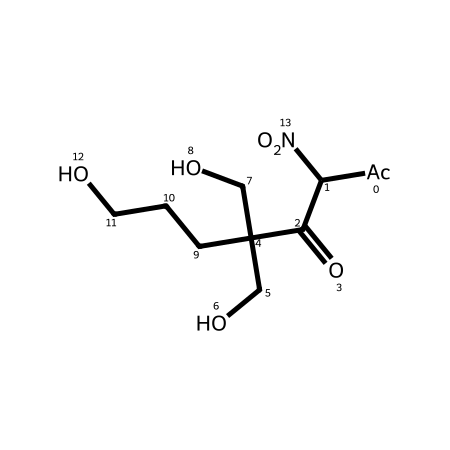 CC(=O)C(C(=O)C(CO)(CO)CCCO)[N+](=O)[O-]